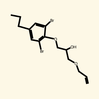 C=CCOCC(O)COc1c(Br)cc(CCC)cc1Br